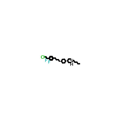 CCCCC[SiH]1CCC([C@H]2CC[C@H](CCCCc3ccc(/C(F)=C/Cl)c(F)c3)CC2)CC1